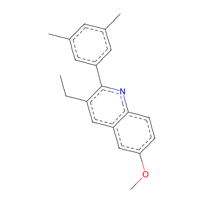 CCc1cc2cc(OC)ccc2nc1-c1cc(C)cc(C)c1